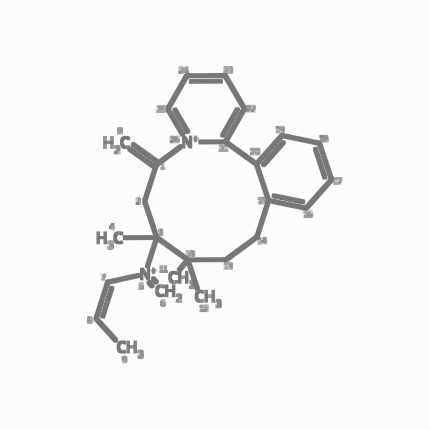 C=C1CC(C)([N+](=C)/C=C\C)C(C)(C)CCc2ccccc2-c2cccc[n+]21